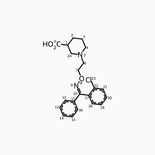 O=C(O)C1CCCN(CCON=C(c2ccccc2)c2ccccc2Cl)C1